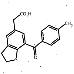 Cc1ccc(C(=O)c2cc(CC(=O)O)cc3c2SCC3)cc1